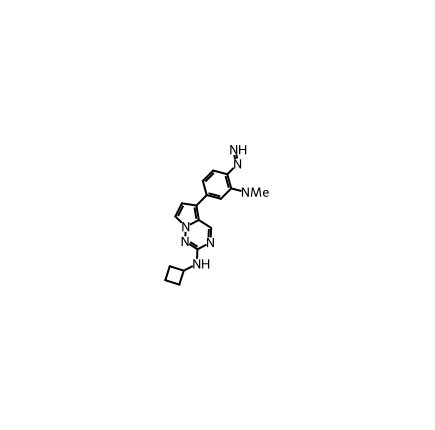 CNc1cc(-c2ccn3nc(NC4CCC4)ncc23)ccc1N=N